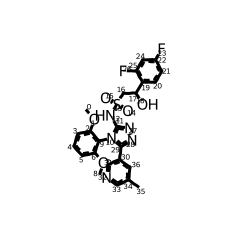 COc1cccc(OC)c1-n1c(NS(=O)(=O)CC(O)c2ccc(F)cc2F)nnc1-c1cncc(C)c1